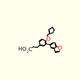 O=C(O)CCc1ccc(OCC2CCCC2)c(-c2ccc3occc3c2)c1